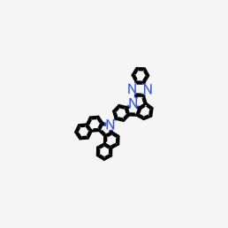 c1ccc2c(c1)ccc1c2c2c3ccccc3ccc2n1-c1ccc2c(c1)c1cccc3c4nc5ccccc5nc4n2c13